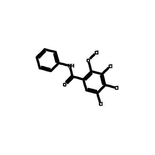 O=C(Nc1ccccc1)c1cc(Cl)c(Cl)c(Cl)c1OCl